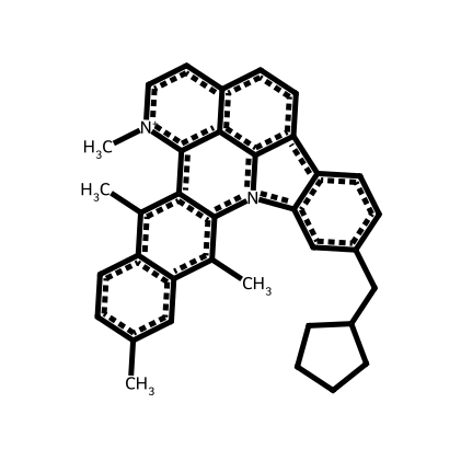 Cc1ccc2c(C)c3c(c(C)c2c1)n1c2cc(CC4CCCC4)ccc2c2ccc4cc[n+](C)c3c4c21